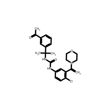 C=C(c1cc(NC(=O)NC(C)(C)c2cccc(C(C)=O)c2)ccc1Cl)N1CCOCC1